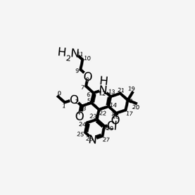 CCOC(=O)C1=C(COCCN)NC2=C(C(=O)CC(C)(C)C2)C1c1ccncc1Cl